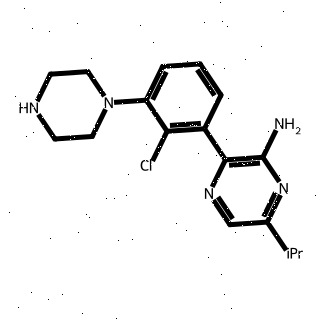 CC(C)c1cnc(-c2cccc(N3CCNCC3)c2Cl)c(N)n1